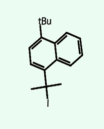 CC(C)(C)c1ccc(C(C)(C)I)c2ccccc12